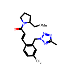 COCC1CCCN1C(=O)/C=C/c1ccc(C(F)(F)F)cc1Cn1nnc(C)n1